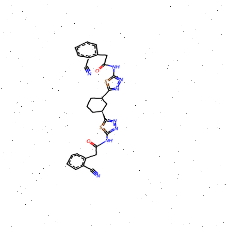 N#Cc1ccccc1CC(=O)Nc1nnc(C2CCC[C@H](c3nnc(NC(=O)Cc4ccccc4C#N)s3)C2)s1